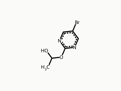 CC(O)Oc1ncc(Br)cn1